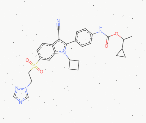 CC(OC(=O)Nc1ccc(-c2c(C#N)c3ccc(S(=O)(=O)CCn4cncn4)cc3n2C2CCC2)cc1)C1CC1